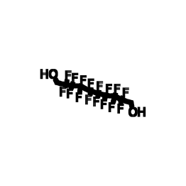 OCC(F)(F)C(F)(F)C(F)(F)C(F)(F)C(F)(F)C(F)(F)C(F)(F)C(F)(F)CO